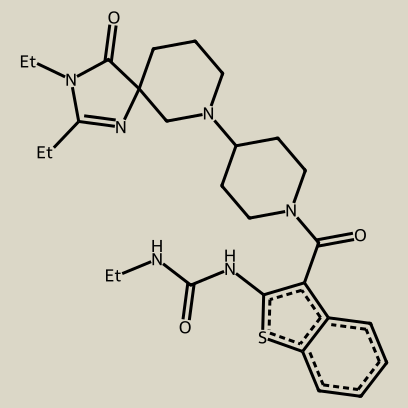 CCNC(=O)Nc1sc2ccccc2c1C(=O)N1CCC(N2CCCC3(C2)N=C(CC)N(CC)C3=O)CC1